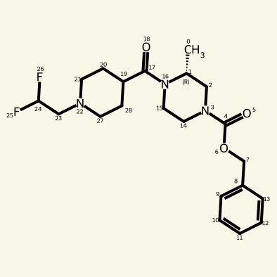 C[C@@H]1CN(C(=O)OCc2ccccc2)CCN1C(=O)C1CCN(CC(F)F)CC1